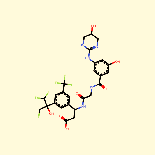 O=C(O)CC(NC(=O)CNC(=O)c1cc(O)cc(NC2=NCC(O)CN2)c1)c1cc(C(F)(F)F)cc(C(O)(CF)C(F)F)c1